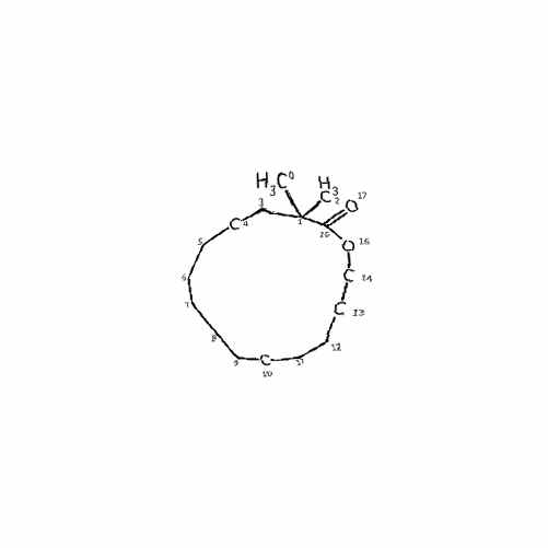 CC1(C)CCCCCCCCCCCCOC1=O